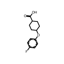 O=C(O)C1CCC(Oc2ccc(F)cc2)CC1